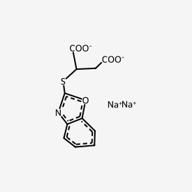 O=C([O-])CC(Sc1nc2ccccc2o1)C(=O)[O-].[Na+].[Na+]